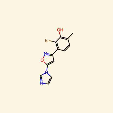 Cc1ccc(-c2cc(-n3ccnc3)on2)c(Br)c1O